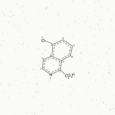 O=C(O)c1nccc2c(Cl)cccc12